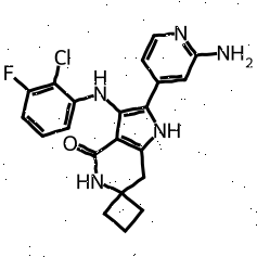 Nc1cc(-c2[nH]c3c(c2Nc2cccc(F)c2Cl)C(=O)NC2(CCC2)C3)ccn1